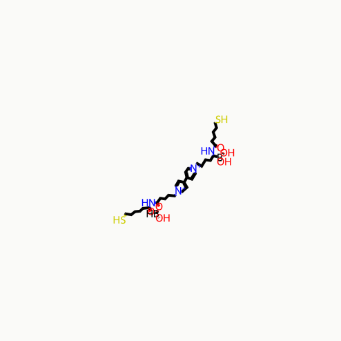 O=C(CCCCCS)NC(CCCC[n+]1ccc(-c2cc[n+](CCCCC(NC(=O)CCCCCS)B(O)O)cc2)cc1)OBO